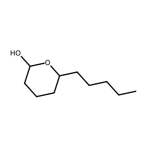 CCCCCC1CCCC(O)O1